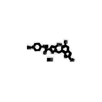 CCN1CCC(NC(=O)c2cc(C)n(Cc3cc(Cl)cc4cc(C(C)C)oc34)n2)CC1.Cl